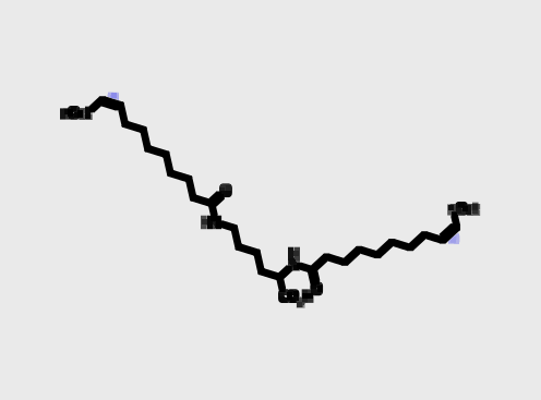 CCCCCCCC/C=C\CCCCCCCC(=O)NCCCCC(NC(=O)CCCCCCC/C=C\CCCCCCCC)C(=O)O